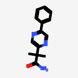 CC(C)(C(N)=O)c1cnc(-c2ccccc2)cn1